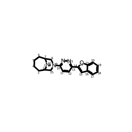 CN1C2CCCCC1CN(c1ccc(-c3cc4ccccc4o3)nn1)C2